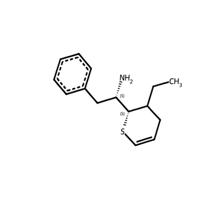 CCC1CC=CS[C@@H]1[C@@H](N)Cc1ccccc1